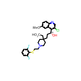 COc1ccc2ncc(Cl)c([C@H](O)CCC3(CC(=O)O)CCN(CCSc4c(F)cccc4F)CC3)c2c1